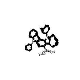 OB(O)c1cc2c(c3ccccc3n2-c2ccccc2)c2c1c1ccccc1n2-c1ccccc1